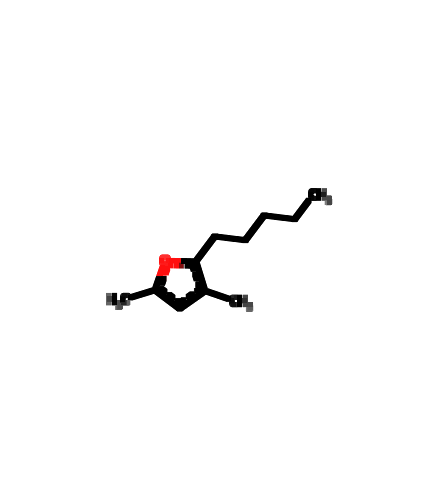 CCCCCc1oc(C)cc1C